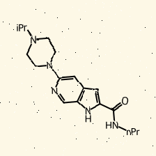 CCCNC(=O)c1cc2cc(N3CCN(C(C)C)CC3)ncc2[nH]1